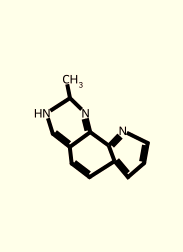 CC1N=c2c(ccc3cccnc23)=CN1